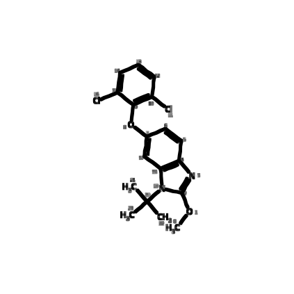 COc1nc2ccc(Oc3c(Cl)cccc3Cl)cc2n1C(C)(C)C